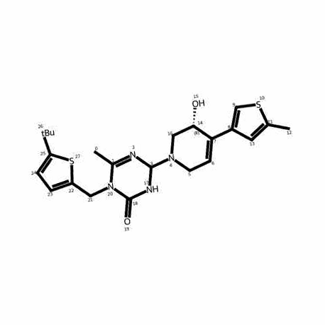 CC1=NC(N2CC=C(c3csc(C)c3)[C@@H](O)C2)NC(=O)N1Cc1ccc(C(C)(C)C)s1